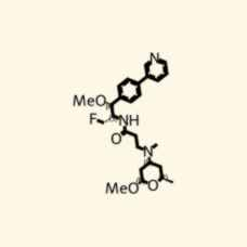 CO[C@H]1C[C@@H](N(C)CCC(=O)N[C@H](CF)[C@H](OC)c2ccc(-c3cccnc3)cc2)C[C@@H](C)O1